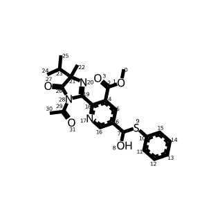 COC(=O)c1cc(C(O)Sc2ccccc2)cnc1C1=NC(C)(C(C)C)C(=O)N1C(C)=O